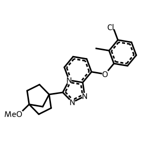 COC12CCC(c3nnc4c(Oc5cccc(Cl)c5C)cccn34)(CC1)C2